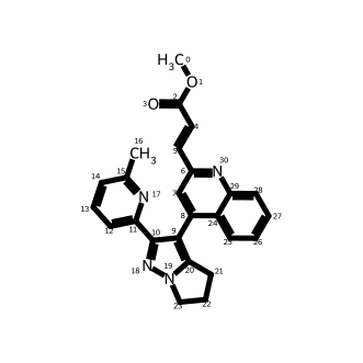 COC(=O)/C=C/c1cc(-c2c(-c3cccc(C)n3)nn3c2CCC3)c2ccccc2n1